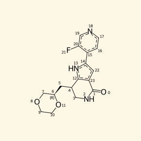 O=C1NCC(C[C@@H]2COCCO2)c2[nH]c(-c3ccncc3F)cc21